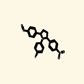 O=Nc1ccc(C2CCC(c3ccc([N+](=O)[O-])cc3)N2c2ccc(F)cc2)cc1